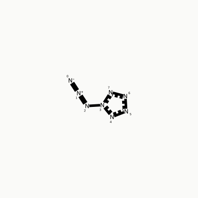 [N-]=[N+]=Nn1nnnn1